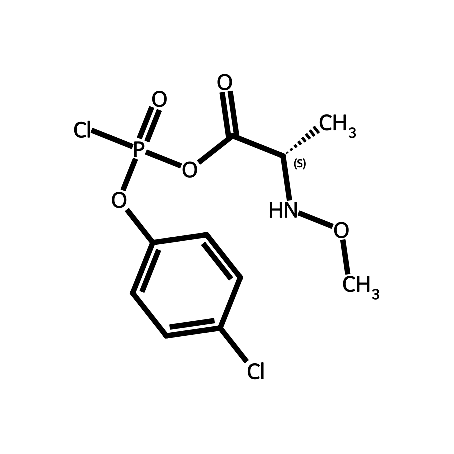 CON[C@@H](C)C(=O)OP(=O)(Cl)Oc1ccc(Cl)cc1